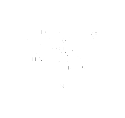 CCCCn1c(=NC(=O)c2cc(C(F)(F)F)ccc2OCC(C)[C@H](C(=O)O)C2(CN)CCCCC2)sc2ccncc21